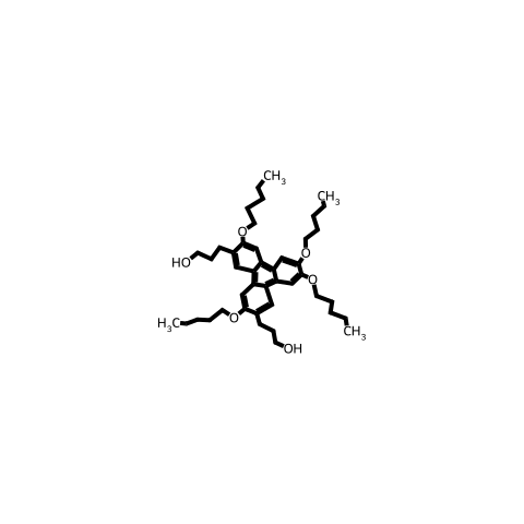 CCCCCOc1cc2c(cc1CCCO)c1cc(OCCCCC)c(CCCO)cc1c1cc(OCCCCC)c(OCCCCC)cc21